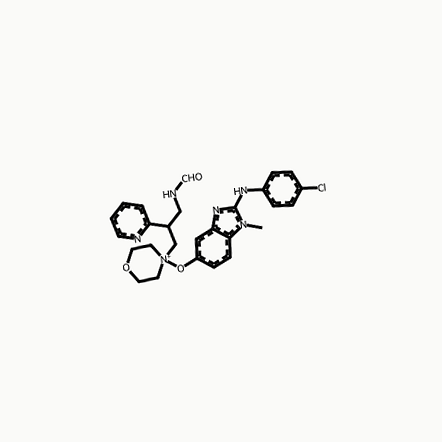 Cn1c(Nc2ccc(Cl)cc2)nc2cc(O[N+]3(CC(CNC=O)c4ccccn4)CCOCC3)ccc21